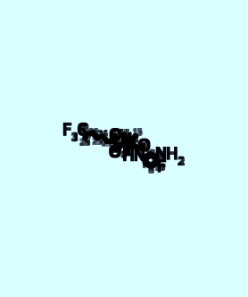 Cc1c(C(=O)Nc2ccc(F)c(N)c2)c(C)n(C)c1C(=O)C(=O)CCCC[C@@H](C)C(F)(F)F